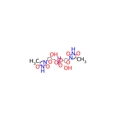 Cc1cn([C@H]2C[C@@H](O)[C@@H](CO[PH](=O)O[C@@H]3C[C@H](n4cc(C)c(=O)[nH]c4=O)O[C@@H]3CO)O2)c(=O)[nH]c1=O